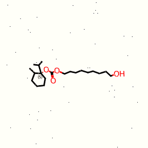 CC(C)[C@@]1(OC(=O)OCCCCCCCCCO)CCCCC1C